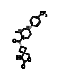 C[C@H]1C[C@H](c2ccc(C(F)(F)F)cc2)CCN1C(=O)[C@H]1C[C@]2(COC(=O)N2)C1